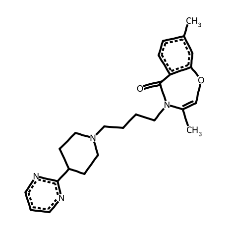 CC1=COc2cc(C)ccc2C(=O)N1CCCCN1CCC(c2ncccn2)CC1